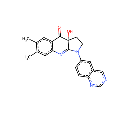 Cc1cc2c(cc1C)C(=O)C1(O)CCN(c3ccc4ncncc4c3)C1=N2